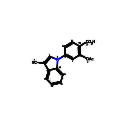 CC(=O)Oc1cc(-n2cc(C#N)c3ccccc32)ccc1C(=O)O